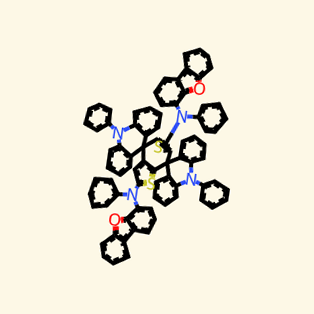 c1ccc(N2c3ccccc3C3(c4ccccc42)c2cc(N(c4ccccc4)c4cccc5c4oc4ccccc45)sc2C2(c4ccccc4N(c4ccccc4)c4ccccc42)c2cc(N(c4ccccc4)c4cccc5c4oc4ccccc45)sc23)cc1